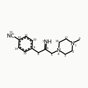 CN1CCN(CC(=N)Cc2ccc(C#N)cc2)CC1